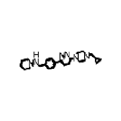 c1cc(-c2ccc(N3CCN(CC4CC4)CC3)nn2)ccc1CNN1CCCCC1